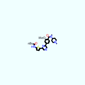 CCCCC(=O)Nc1ccc(-c2cncc(-c3ccc(C(=O)N(C)C4CCN(C)CC4)c(OC)c3)n2)s1